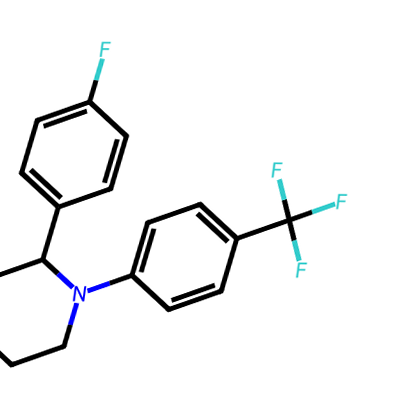 Fc1ccc(C2CCCCN2c2ccc(C(F)(F)F)cc2)cc1